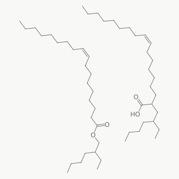 CCCCCCCC/C=C\CCCCCCC(CC(CC)CCCC)C(=O)O.CCCCCCCC/C=C\CCCCCCCC(=O)OCC(CC)CCCC